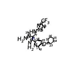 Cc1nc(/C(N)=C(\CNc2nc(C(F)(F)F)ns2)N(C)N)ccc1OC1CCCCC1